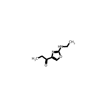 CCNc1nc(C(=O)CC)co1